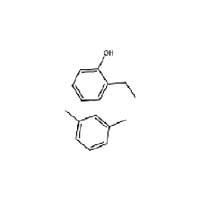 CCc1ccccc1O.Cc1cccc(C)c1